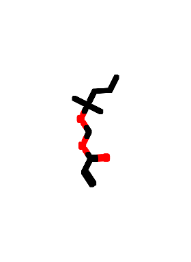 C=CC(=O)OCO[Si](C)(C)CCC